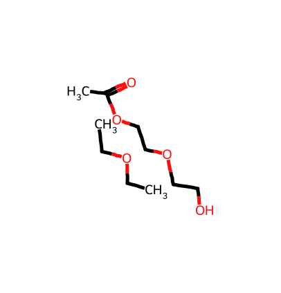 CC(=O)OCCOCCO.CCOCC